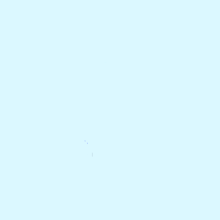 CN1CCCC2C(c3ccc(F)cc3)c3cc(Cl)ccc3C21